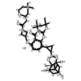 CC(C)(C)OC(=O)Oc1c(C2CC2B2O[C@@H]3C[C@@H]4C[C@@H](C4(C)C)[C@]3(C)O2)ccc(OC2CN(C(=O)C[C@@H]3C[N+](C)(C)CCO3)C2)c1C(=O)OC(C)(C)C.[I-]